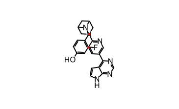 Oc1ccc(CN2C3CC2CN(c2ccc(-c4ncnc5[nH]ccc45)cn2)C3)c(F)c1